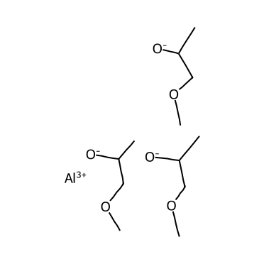 COCC(C)[O-].COCC(C)[O-].COCC(C)[O-].[Al+3]